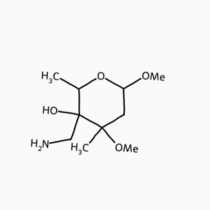 COC1CC(C)(OC)C(O)(CN)C(C)O1